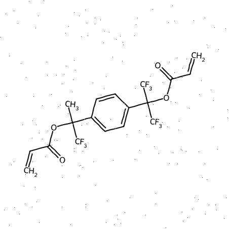 C=CC(=O)OC(C)(c1ccc(C(OC(=O)C=C)(C(F)(F)F)C(F)(F)F)cc1)C(F)(F)F